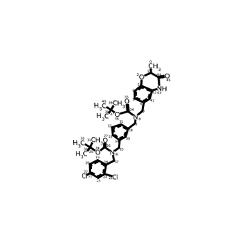 CC1Oc2ccc(CN(Cc3cccc(CN(Cc4ccc(Cl)cc4Cl)C(=O)OC(C)(C)C)c3)C(=O)OC(C)(C)C)cc2NC1=O